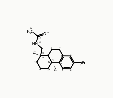 CC(C)c1ccc2c(c1)CCC1[C@](C)(CNC(=O)C(F)(F)F)CCC[C@]21C